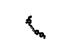 C=Cc1ccc(-c2ccc(OCOCCc3ccc(C=C)cc3C)cc2)cc1